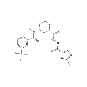 Cc1ncc(C(=O)NNC(=O)[C@H]2CCC[C@@H](N(C)C(=O)c3cccc(C(F)(F)F)c3)C2)[nH]1